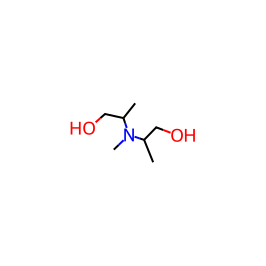 CC(CO)N(C)C(C)CO